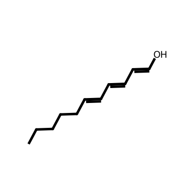 CCCCCC=CC=CC=CO